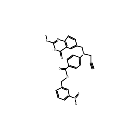 C#CCN(Cc1ccc2nc(OC)[nH]c(=O)c2c1)c1ccc(C(=O)NCc2cccc([N+](=O)[O-])c2)cc1